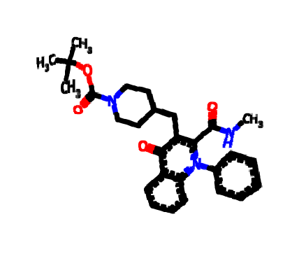 CNC(=O)c1c(CC2CCN(C(=O)OC(C)(C)C)CC2)c(=O)c2ccccc2n1-c1ccccc1